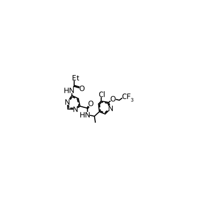 CCC(=O)Nc1cc(C(=O)NC(C)c2cnc(OCC(F)(F)F)c(Cl)c2)ncn1